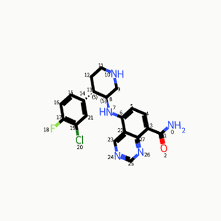 NC(=O)c1ccc(N[C@@H]2CNCC[C@H]2c2ccc(F)c(Cl)c2)c2cncnc12